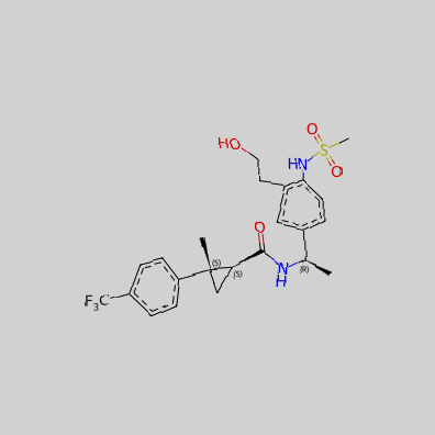 C[C@@H](NC(=O)[C@H]1C[C@]1(C)c1ccc(C(F)(F)F)cc1)c1ccc(NS(C)(=O)=O)c(CCO)c1